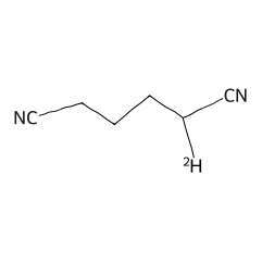 [2H]C(C#N)CCCC#N